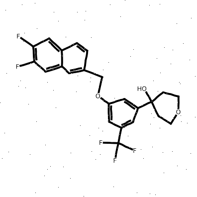 OC1(c2cc(OCc3ccc4cc(F)c(F)cc4c3)cc(C(F)(F)F)c2)CCOCC1